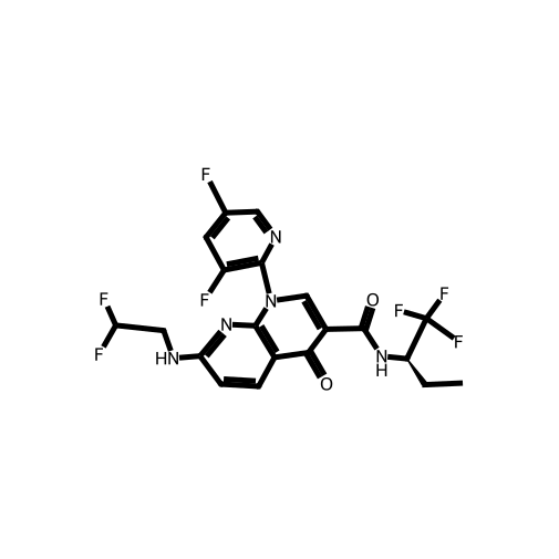 CC[C@@H](NC(=O)c1cn(-c2ncc(F)cc2F)c2nc(NCC(F)F)ccc2c1=O)C(F)(F)F